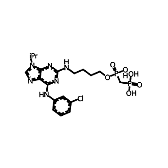 CC(C)n1cnc2c(Nc3cccc(Cl)c3)nc(NCCCCOP(=O)(O)CP(=O)(O)O)nc21